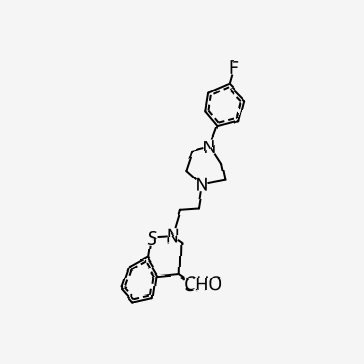 O=CC1CN(CCN2CCN(c3ccc(F)cc3)CC2)Sc2ccccc21